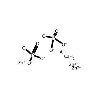 O=P([O-])([O-])[O-].O=P([O-])([O-])[O-].[Al].[CaH2].[Zn+2].[Zn+2].[Zn+2]